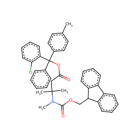 Cc1ccc(C(OC(=O)CC(C)(C)N(C)C(=O)OCC2c3ccccc3-c3ccccc32)(c2ccccc2)c2ccccc2Cl)cc1